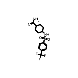 NC(=O)C1CCC(NS(=O)(=O)c2ccc(C(F)(F)F)cc2)CC1